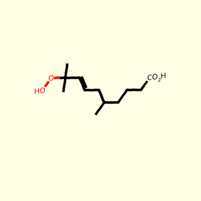 CC(CC=CC(C)(C)OO)CCCC(=O)O